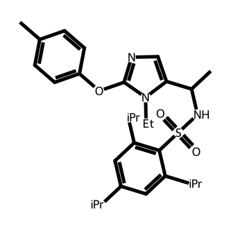 CCn1c(C(C)NS(=O)(=O)c2c(C(C)C)cc(C(C)C)cc2C(C)C)cnc1Oc1ccc(C)cc1